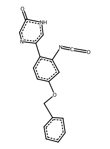 O=C=Nc1cc(OCc2ccccc2)ccc1-c1c[nH]c(=O)cn1